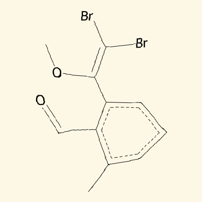 COC(=C(Br)Br)c1cccc(C)c1C=O